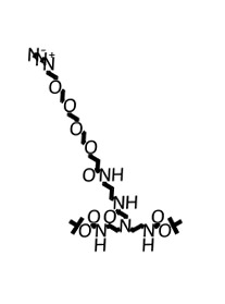 CC(C)(C)OC(=O)NCCN(CCNC(=O)OC(C)(C)C)CC(=O)NCCCNC(=O)CCOCCOCCOCCOCCN=[N+]=[N-]